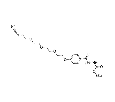 CC(C)(C)OC(=O)NNC(=O)c1ccc(OCCOCCOCCOCCN=[N+]=[N-])cc1